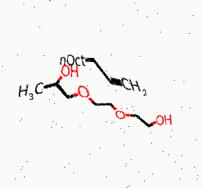 C=CCCCCCCCCC.CC(O)COCCOCCO